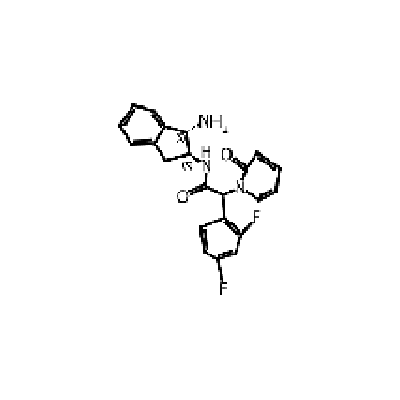 N[C@H]1c2ccccc2C[C@@H]1NC(=O)C(c1ccc(F)cc1F)n1ccccc1=O